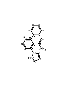 NC(=O)c1c(N2C=CON2)ccnc1-c1ccccc1